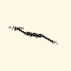 C=CC(=O)OCC(O)CCCCCCOc1ccc(OC(=O)c2ccc(OC(=O)c3ccc(OCCCCCCCCCCC)cc3)cc2)cc1